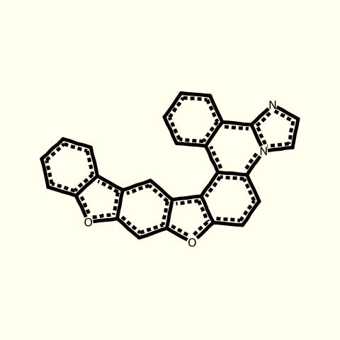 c1ccc2c(c1)oc1cc3oc4ccc5c(c6ccccc6c6nccn56)c4c3cc12